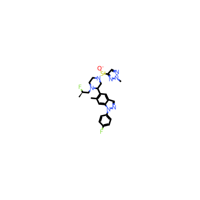 Cc1cc2c(cnn2-c2ccc(F)cc2)cc1C1CN([S+]([O-])c2cnn(C)n2)CCN1C[C@@H](C)F